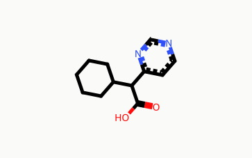 O=C(O)C(c1ccn[c]n1)C1CCCCC1